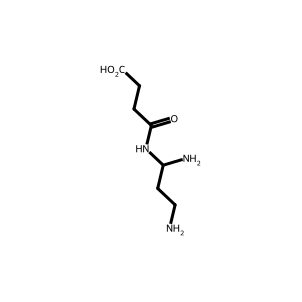 NCCC(N)NC(=O)CCC(=O)O